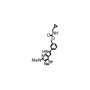 CNc1nc2[nH]c(-c3cccc(COC(=O)NCC4CC4)c3)cc2c2c1ncn2C